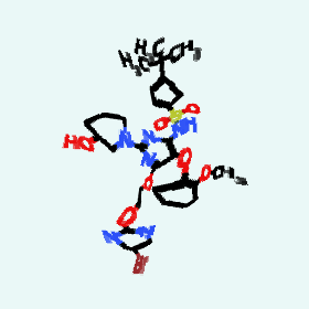 COc1ccccc1Oc1c(NS(=O)(=O)c2ccc(C(C)(C)C)cc2)nc(N2CCCC(O)C2)nc1OCCOc1ncc(Br)cn1